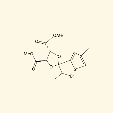 COC(=O)[C@@H]1OC(c2cc(C)cs2)(C(C)Br)O[C@H]1C(=O)OC